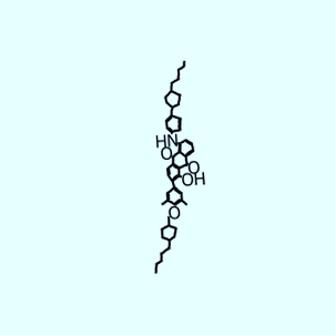 CCCCCC1CCC(COc2c(C)cc(-c3ccc4c(c3O)C(=O)c3cccc(Nc5ccc(C6CCC(CCCCC)CC6)cc5)c3C4=O)cc2C)CC1